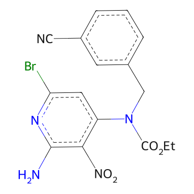 CCOC(=O)N(Cc1cccc(C#N)c1)c1cc(Br)nc(N)c1[N+](=O)[O-]